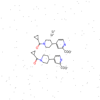 O=C([O-])c1cc(C2CCN(C(=O)C3CC3)CC2)ccn1.O=C([O-])c1cc(C2CCN(C(=O)C3CC3)CC2)ccn1.[Li+].[Li+]